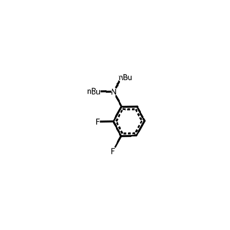 CCCCN(CCCC)c1cccc(F)c1F